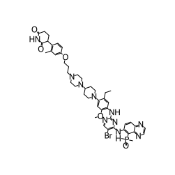 CCc1cc(Nc2ncc(Br)c(Nc3ccc4nccnc4c3P(C)(C)=O)n2)c(OC)cc1N1CCC(N2CCN(CCCOc3ccc(C4CCC(=O)NC4=O)c(C)c3)CC2)CC1